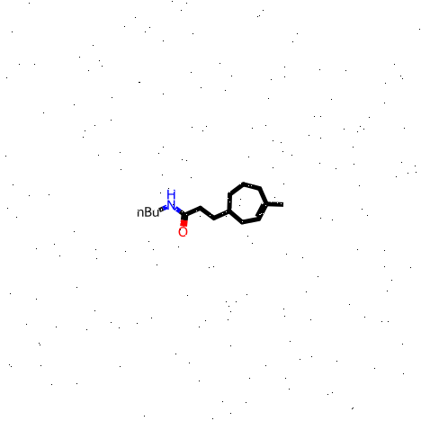 CCCCNC(=O)CCC1CC=C(C)CCC1